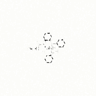 C[C@H](N=C=O)C(=O)N(Cc1ccccc1O)NC(c1ccccc1)c1ccccc1